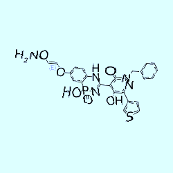 NO/C=C/Oc1ccc2c(c1)P(=O)(O)N=C(c1c(O)c(-c3ccsc3)nn(Cc3ccccc3)c1=O)N2